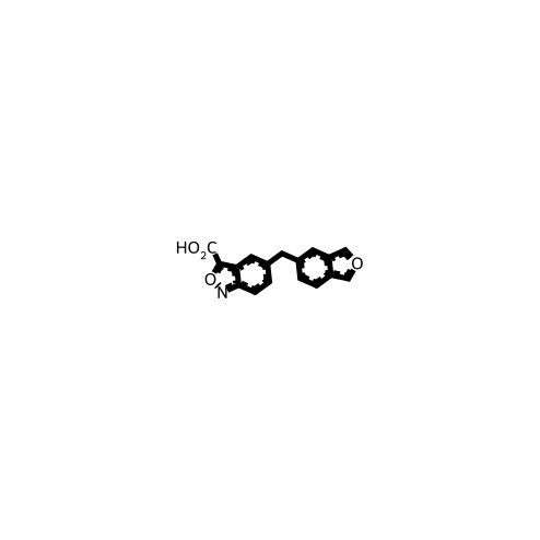 O=C(O)c1onc2ccc(Cc3ccc4cocc4c3)cc12